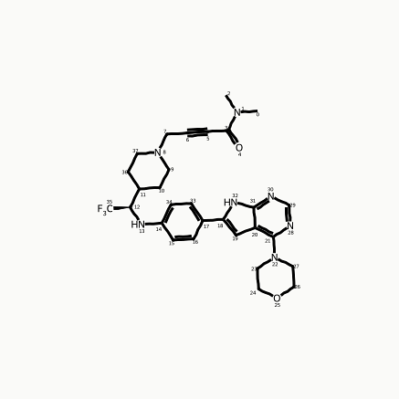 CN(C)C(=O)C#CCN1CCC([C@@H](Nc2ccc(-c3cc4c(N5CCOCC5)ncnc4[nH]3)cc2)C(F)(F)F)CC1